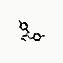 CCl.Cc1ccc(O[PH](=O)Oc2ccc(C)cc2)cc1